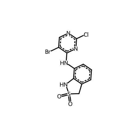 O=S1(=O)Cc2cccc(Nc3nc(Cl)ncc3Br)c2N1